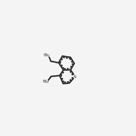 CC(C)(C)Cc1cccc2nccc(CC(C)(C)C)c12